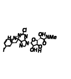 CNC(=O)C(O)[C@H]1O[C@@H](N2CN=C3C2=NC(Cl)=NC3(N)Cc2cccc(I)c2)[C@H](O)[C@@H]1O